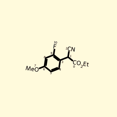 CCOC(=O)C(C#N)c1ccc(OC)cc1F